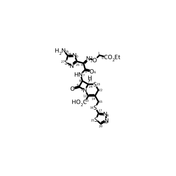 CCOC(=O)CO/N=C(\C(=O)NC1C(=O)N2C(C(=O)O)=C(CSc3nncs3)CS[C@H]12)c1nsc(N)n1